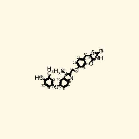 Cc1cc(Oc2ccc3nc(COc4ccc(CC5SC(=O)NC5=O)cc4)n(C)c3c2)ccc1O